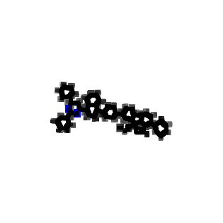 CC1(C)c2cc(-c3ccccc3)ccc2-c2ccc(-c3ccc(-c4ccc(-c5cc(-c6ccccc6)nc(-c6ccccc6)n5)c5ccccc45)cc3)cc21